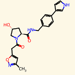 Cc1cc(CC(=O)N2C[C@H](O)C[C@H]2C(=O)NCc2ccc(-c3cc[nH]c3)cc2)on1